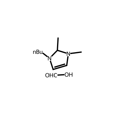 CCCCN1C=CN(C)C1C.O=CO